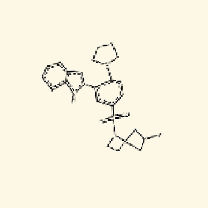 CC(=O)N1CC2(CCN2S(=O)(=O)c2ccc(N3CCCC3)c(-c3cc4ccccc4[nH]3)c2)C1